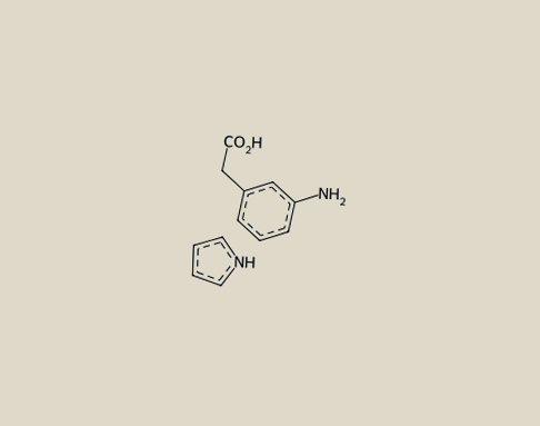 Nc1cccc(CC(=O)O)c1.c1cc[nH]c1